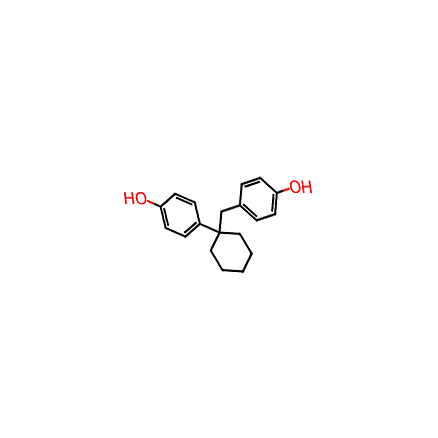 Oc1ccc(CC2(c3ccc(O)cc3)CCCCC2)cc1